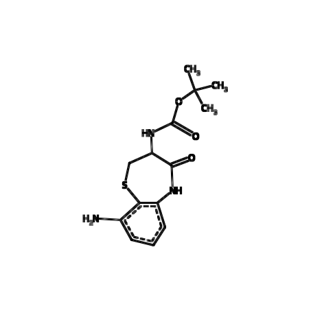 CC(C)(C)OC(=O)NC1CSc2c(N)cccc2NC1=O